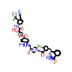 CC(O)(CS(=O)(=O)c1ccc(NCC(=O)N2CCN(C(=O)c3cc(Cc4n[nH]c(=O)c5ccccc45)ccc3F)CC2)cc1)C(=O)Nc1ccc(C#N)c(C(F)(F)F)c1